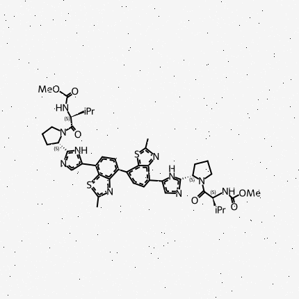 COC(=O)N[C@H](C(=O)N1CCC[C@H]1c1ncc(-c2ccc(-c3ccc(-c4cnc([C@@H]5CCCN5C(=O)[C@@H](NC(=O)OC)C(C)C)[nH]4)c4sc(C)nc34)c3sc(C)nc23)[nH]1)C(C)C